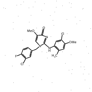 COc1cc(C)c(Nc2nc(=O)c(OC)cn2Cc2ccc(F)c(Cl)c2)cc1Cl